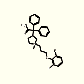 C[N+]1(CCCOc2c(F)cccc2F)CCC(C(C(N)=O)(c2ccccc2)c2ccccc2)C1